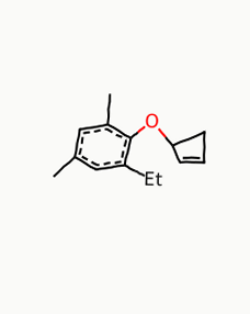 CCc1cc(C)cc(C)c1OC1C=CC1